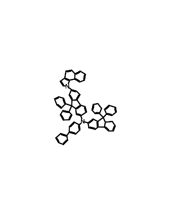 C1=CCCC(C2(c3ccccc3)c3cc(N(c4ccc(-c5ccccc5)cc4)c4ccc5c(c4)C(c4ccccc4)(c4ccccc4)c4cc(-n6ccc7ccc8ccccc8c76)ccc4-5)ccc3C3=CC=CCC32)=C1